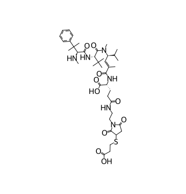 CN[C@H](C(=O)N[C@H](C(=O)N(C)[C@H](/C=C(\C)C(=O)N[C@H](CCC(=O)NCCN1C(=O)CC(SCCC(=O)O)C1=O)C(=O)O)C(C)C)C(C)(C)C)C(C)(C)c1ccccc1